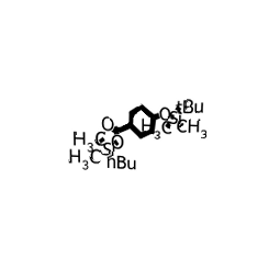 CCCC[Si](C)(C)OC(=O)C1CCC(O[Si](C)(C)C(C)(C)C)CC1